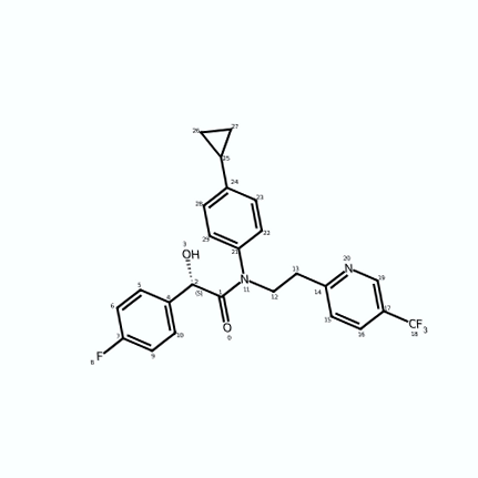 O=C([C@@H](O)c1ccc(F)cc1)N(CCc1ccc(C(F)(F)F)cn1)c1ccc(C2CC2)cc1